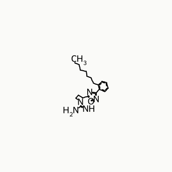 CCCCCCCCc1ccccc1-c1noc(C2CCN2C(=N)N)n1